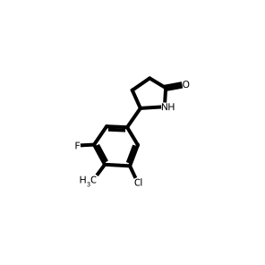 Cc1c(F)cc(C2CCC(=O)N2)cc1Cl